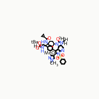 [2H]C([2H])([2H])n1c(=O)n(C2CCC(CC=C)(NC(=O)C3CC3)CC2)c2c3c(-c4ccc(CNC(=O)OC(C)(C)C)cc4)c(-c4cn(C)nc4OC)n(S(=O)(=O)c4ccccc4)c3ncc21